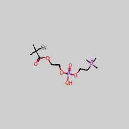 CCC(C)(C)C(=O)OCCOP(=O)(O)OCC[PH](C)(C)C